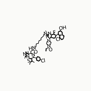 C=CC(=O)N1CCN(c2nc(N(C)CCCCCCCCNC(=O)CC3N=C(c4ccc(Cl)cc4)c4c(sc(C)c4C)-n4c(C)nnc43)nc3c(F)c(-c4cc(O)cc5ccccc45)c(Cl)cc23)CC1